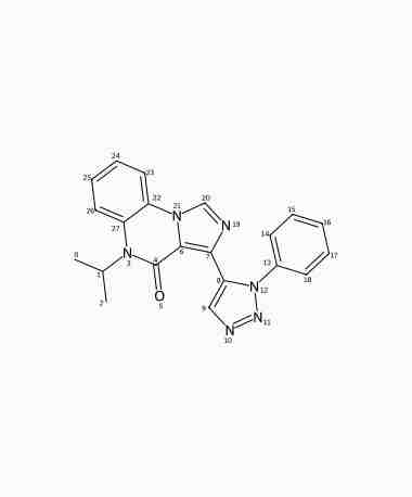 CC(C)n1c(=O)c2c(-c3cnnn3-c3ccccc3)ncn2c2ccccc21